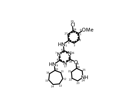 COc1ccc(Nc2nc(NC3CCCCCC3)nc(OC3CCCNC3)n2)cc1Cl